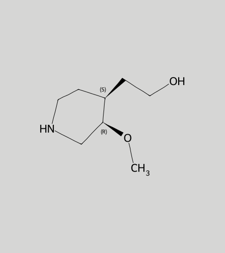 CO[C@H]1CNCC[C@H]1CCO